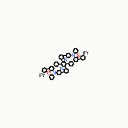 CC(C)c1cccc2c1oc1c(N(c3ccccc3)c3ccc4c5cccc6c7c(-c8ccccc8)c8c(c(-c9ccccc9)c7n(c4c3)c56)c3cccc4c5ccc(N(c6ccccc6)c6cccc7c6oc6c(C(C)C)cccc67)cc5n8c43)cccc12